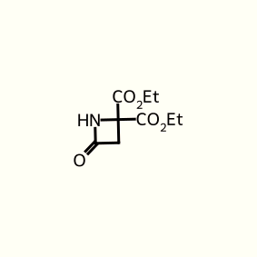 CCOC(=O)C1(C(=O)OCC)CC(=O)N1